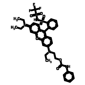 CCN(CCOC(=O)Nc1ccccc1)c1ccc2c(-c3ccccc3S(=O)(=O)NS(=O)(=O)C(F)(F)F)c3ccc(=[N+](CC)CC)cc-3oc2c1